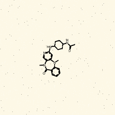 CC(=O)NC1CCC(Nc2cc3c(cn2)N(C)C(=O)c2ccccc2N3C)CC1